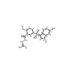 CCc1ccc(S(=O)(=O)n2cc(C)c3cc(F)ccc32)cc1NCCN(C)C